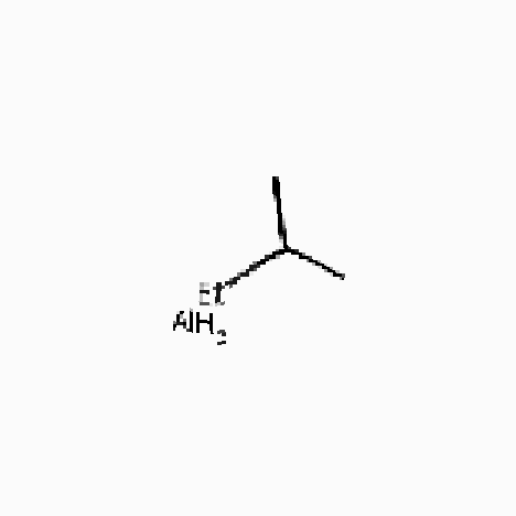 CCC(C)C.[AlH3]